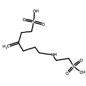 C=C(CCCNCCS(=O)(=O)O)CCS(=O)(=O)O